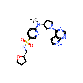 CN(c1ccc(S(=O)(=O)NC[C@H]2CCCO2)cn1)[C@@H]1CCN(c2ncnc3[nH]ccc23)C1